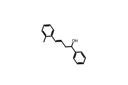 Cc1ccccc1C=CCC(O)c1ccccc1